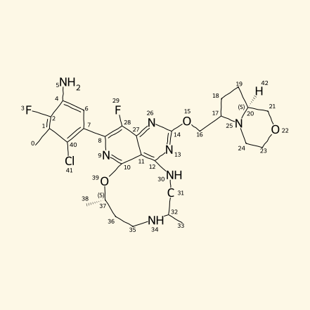 Cc1c(F)c(N)cc(-c2nc3c4c(nc(OCC5CC[C@H]6COCCN56)nc4c2F)NCC(C)NCC[C@H](C)O3)c1Cl